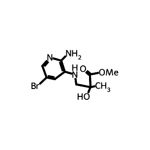 COC(=O)C(C)(O)CNc1cc(Br)cnc1N